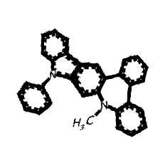 CN1c2ccccc2-c2ccccc2-c2cc3c4ccccc4n(-c4ccccc4)c3cc21